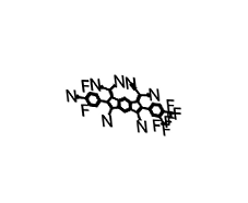 N#CC(C#N)=C1C(c2cc(F)c(C#N)c(F)c2)=C(C#N)c2cc3c(cc21)C(=C(C#N)C#N)C(c1ccc(C(F)(F)F)c(C(F)(F)F)c1)=C3C#N